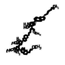 COCCCCC[C@@H]1CCc2cc([C@H]3CC(C(CCCCC4CCc5cc([C@H]6CC(C7C[C@](N)(CO)C[C@H]7c7ccc8c(c7)CCC(CCCOC)C8)[C@](N)(CO)C6)ccc5C4)COC)[C@](N)(CO)C3)ccc2C1